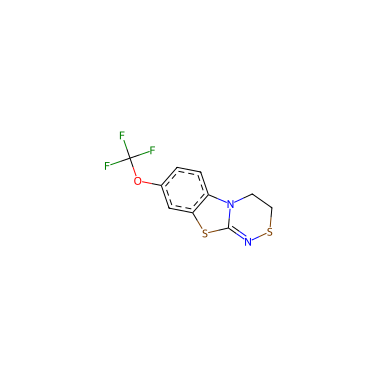 FC(F)(F)Oc1ccc2c(c1)SC1=NSCCN12